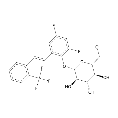 OC[C@H]1O[C@@H](Oc2c(F)cc(F)cc2/C=C/c2ccccc2C(F)(F)F)[C@H](O)[C@@H](O)[C@@H]1O